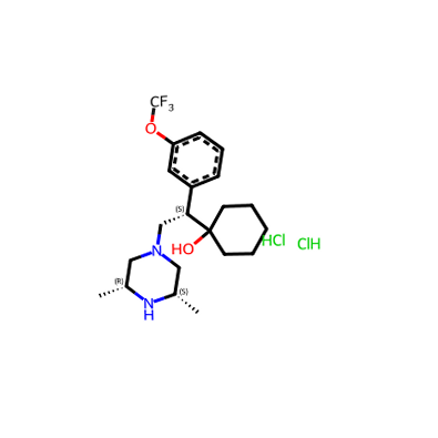 C[C@@H]1CN(C[C@H](c2cccc(OC(F)(F)F)c2)C2(O)CCCCC2)C[C@H](C)N1.Cl.Cl